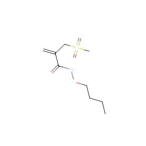 C=C(CS(C)(=O)=O)C(=O)NOCCCC